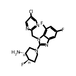 N[C@@H]1CN(c2nc3cc(F)cc(F)c3n2Cc2ncc(Cl)cn2)CC[C@H]1F